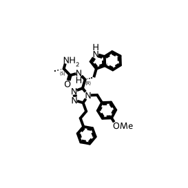 COc1ccc(CN2C(CCc3ccccc3)N=NC2[C@@H](Cc2c[nH]c3ccccc23)NC(=O)[C@H](C)N)cc1